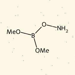 COB(OC)ON